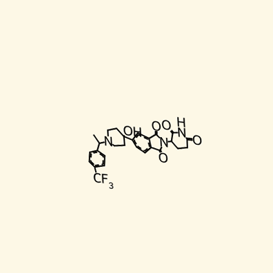 CC(c1ccc(C(F)(F)F)cc1)N1CCC(O)(c2ccc3c(c2)C(=O)N(C2CCC(=O)NC2=O)C3=O)CC1